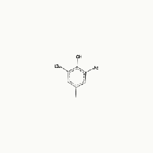 CC(=O)c1cc(C)cc(C(C)(C)C)c1O